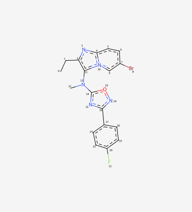 CCc1nc2ccc(Br)cn2c1N(C)c1nc(-c2ccc(F)cc2)no1